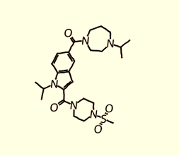 CC(C)N1CCCN(C(=O)c2ccc3c(c2)cc(C(=O)N2CCN(S(C)(=O)=O)CC2)n3C(C)C)CC1